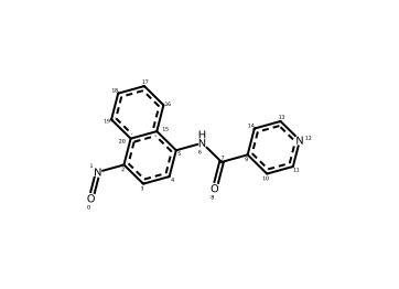 O=Nc1ccc(NC(=O)c2ccncc2)c2ccccc12